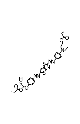 CCC(=O)OCCN(CC)c1ccc(N=Nc2nc3sc(N=Nc4ccc(O[C@H](S)OC(=O)CC)cc4)cc3s2)cc1